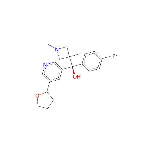 CC(C)c1ccc([C@](O)(c2cncc(C3CCCO3)c2)C2(C)CN(C)C2)cc1